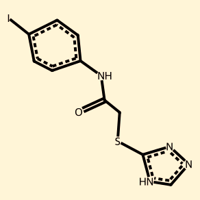 O=C(CSc1nnc[nH]1)Nc1ccc(I)cc1